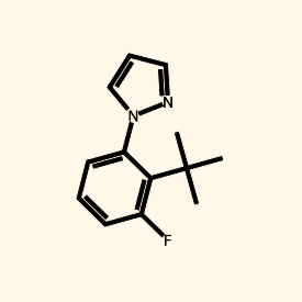 CC(C)(C)c1c(F)cccc1-n1cccn1